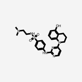 CN(C)CCNS(=O)(=O)c1ccc(Nc2nccc(N3CCCc4c(O)cccc43)n2)cc1